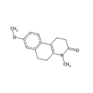 COc1ccc2c(c1)CCC1=C2CCC(=O)N1C